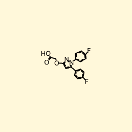 O=C(O)COc1cc(-c2ccc(F)cc2)n(-c2ccc(F)cc2)n1